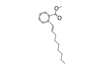 CCCCCCCC=Cc1ccccc1C(=O)OC